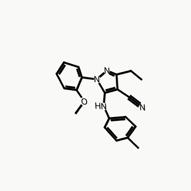 CCc1nn(-c2ccccc2OC)c(Nc2ccc(C)cc2)c1C#N